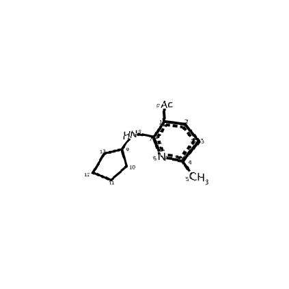 CC(=O)c1ccc(C)nc1NC1CCCC1